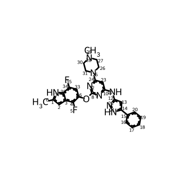 Cc1cc2c(F)c(Oc3nc(Nc4cc(-c5ccccc5)[nH]n4)cc(N4CCN(C)CC4)n3)cc(F)c2[nH]1